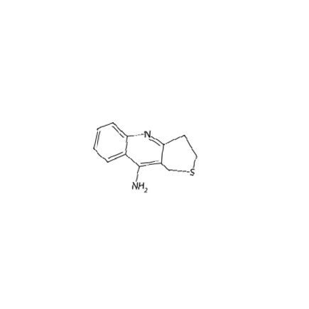 Nc1c2c(nc3ccccc13)CCSC2